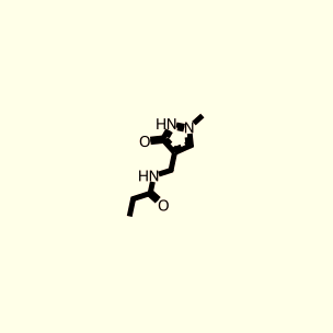 CCC(=O)NCc1cn(C)[nH]c1=O